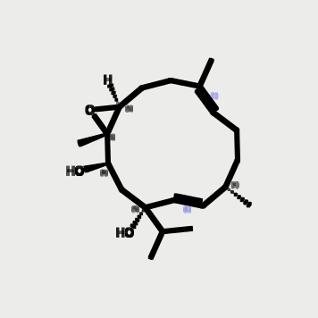 C/C1=C\CC[C@H](C)/C=C/[C@@](O)(C(C)C)C[C@@H](O)[C@]2(C)O[C@H]2CC1